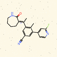 C/C(=C1/CCCCNC1=O)c1cc(C#N)cc(-c2ccnc(F)c2)c1C